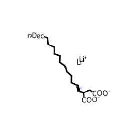 CCCCCCCCCCCCCCCCCCCC/C=C/C(CC(=O)[O-])C(=O)[O-].[Li+].[Li+]